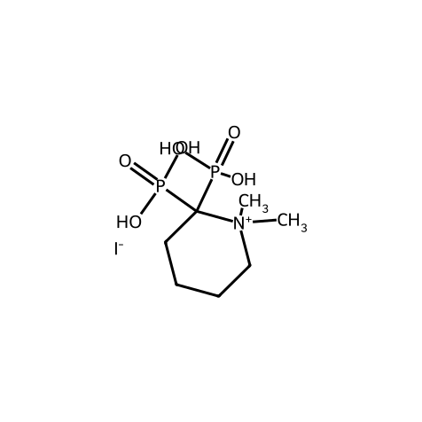 C[N+]1(C)CCCCC1(P(=O)(O)O)P(=O)(O)O.[I-]